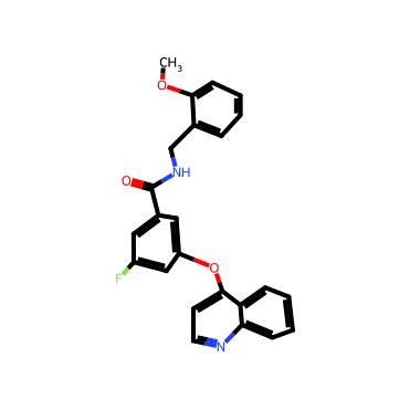 COc1ccccc1CNC(=O)c1cc(F)cc(Oc2ccnc3ccccc23)c1